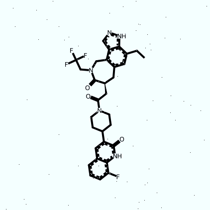 CCc1cc2c(c3cn[nH]c13)CN(CC(F)(F)F)C(=O)[C@H](CC(=O)N1CCC(c3cc4cccc(F)c4[nH]c3=O)CC1)C2